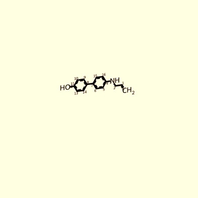 C=CCNc1ccc(-c2ccc(O)cc2)cc1